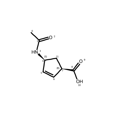 CC(=O)N[C@@H]1C=C[C@H](C(=O)O)C1